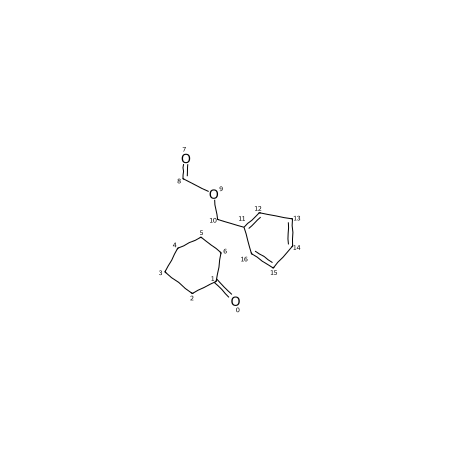 O=C1CCCCC1.O=COCc1ccccc1